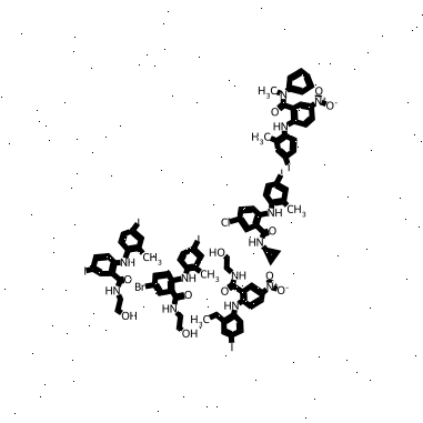 CCc1cc(I)ccc1Nc1ccc([N+](=O)[O-])cc1C(=O)NCCO.Cc1cc(I)ccc1Nc1ccc(Br)cc1C(=O)NCCO.Cc1cc(I)ccc1Nc1ccc(Cl)cc1C(=O)NC1CC1.Cc1cc(I)ccc1Nc1ccc(I)cc1C(=O)NCCO.Cc1cc(I)ccc1Nc1ccc([N+](=O)[O-])cc1C(=O)N(C)c1ccccc1